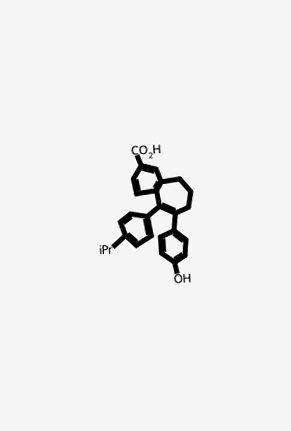 CC(C)c1ccc(C2=C(c3ccc(O)cc3)CCCc3cc(C(=O)O)ccc32)cc1